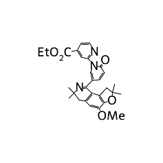 CCOC(=O)c1ccnc(-n2cc(C3=NC(C)(C)Cc4cc(OC)c5c(c43)CC(C)(C)O5)ccc2=O)c1